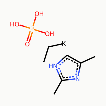 C[CH2][K].Cc1c[nH]c(C)n1.O=P(O)(O)O